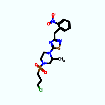 CC1CN(S(=O)(=O)CCCCl)CCN1c1nc(Cc2ccccc2[N+](=O)[O-])ns1